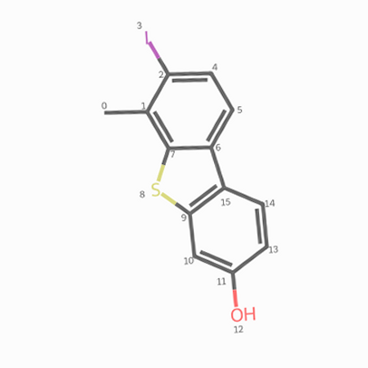 Cc1c(I)ccc2c1sc1cc(O)ccc12